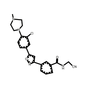 CN1CCN(c2ccc(-c3cc(-c4cccc(C(=O)NCC#N)c4)no3)cc2Cl)CC1